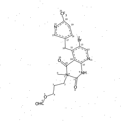 C[N+]1(CCCOC=O)C(=O)Nc2ncc(Br)c(Cc3ccc(C(F)(F)F)nc3)c2C1=O